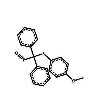 COc1ccc(SC(P=O)(c2ccccc2)c2ccccc2)cc1